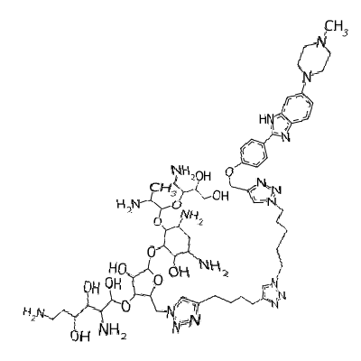 CC(N)C(OC(CN)C(O)CO)OC1C(N)CC(N)C(O)C1OC1OC(Cn2cc(CCCCc3cn(CCCCCn4cc(COc5ccc(-c6nc7ccc(N8CCN(C)CC8)cc7[nH]6)cc5)nn4)nn3)nn2)C(OC(O)C(N)C(O)C(O)CCN)C1O